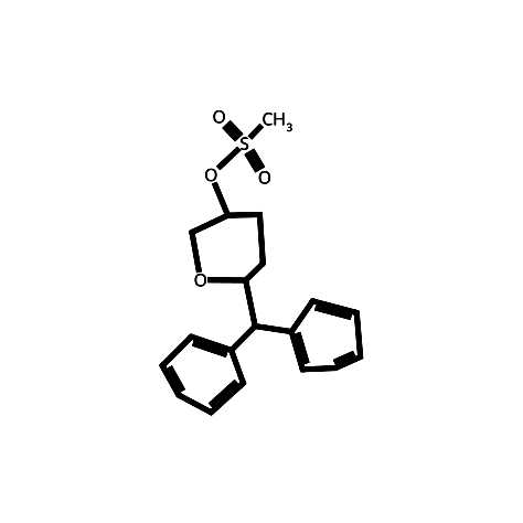 CS(=O)(=O)OC1CCC(C(c2ccccc2)c2ccccc2)OC1